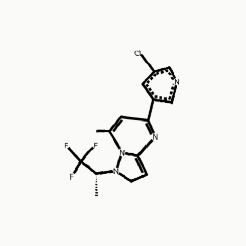 CC1=CC(c2cncc(Cl)c2)=NC2=CCN([C@H](C)C(F)(F)F)N12